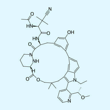 CCn1c(-c2cccnc2[C@H](C)OC)c2c3cc(ccc31)-c1cc(O)cc(c1)C[C@H](NC(=O)[C@@H](NC(C)=O)C(C)(C)C#N)C(=O)N1CCC[C@H](N1)C(=O)OCC(C)(C)C2